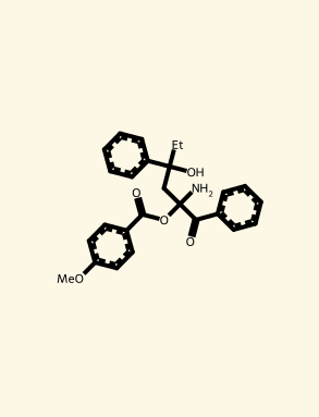 CCC(O)(CC(N)(OC(=O)c1ccc(OC)cc1)C(=O)c1ccccc1)c1ccccc1